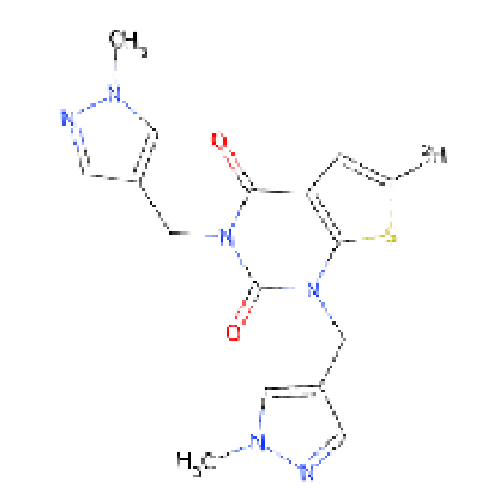 [2H]c1cc2c(=O)n(Cc3cnn(C)c3)c(=O)n(Cc3cnn(C)c3)c2s1